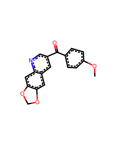 COc1ccc(C(=O)c2cnc3cc4c(cc3c2)OCO4)cc1